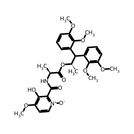 COc1cc[n+]([O-])c(C(=O)N[C@@H](C)C(=O)O[C@@H](C)C(c2cccc(OC)c2OC)c2cccc(OC)c2OC)c1O